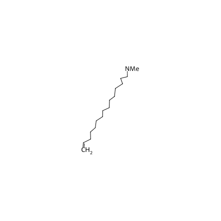 C=CCCCCCCCCCCCCCNC